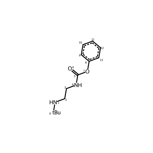 CC(C)(C)NCCNC(=O)Oc1ccccc1